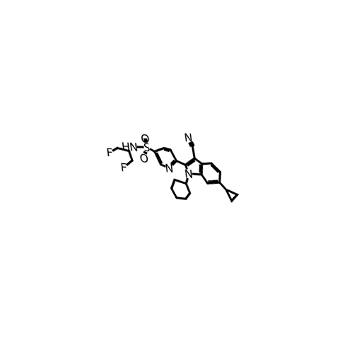 N#Cc1c(-c2ccc(S(=O)(=O)NC(CF)CF)cn2)n(C2CCCCC2)c2cc(C3CC3)ccc12